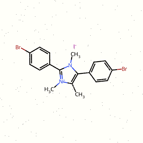 Cc1c(-c2ccc(Br)cc2)n(C)c(-c2ccc(Br)cc2)[n+]1C.[I-]